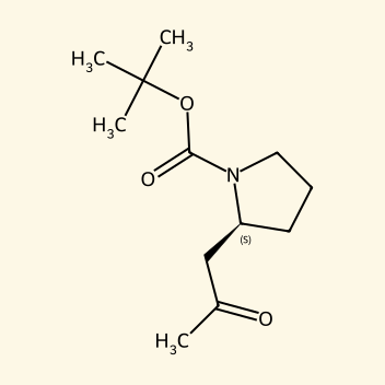 CC(=O)C[C@@H]1CCCN1C(=O)OC(C)(C)C